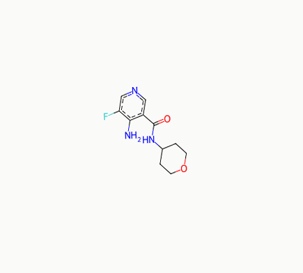 Nc1c(F)cncc1C(=O)NC1CCOCC1